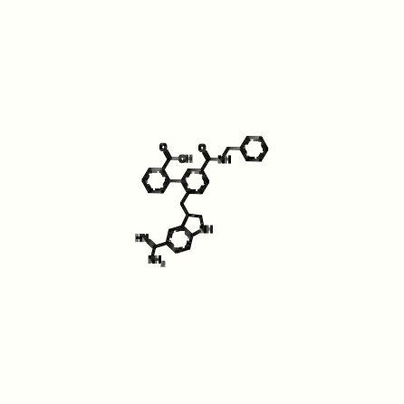 N=C(N)c1ccc2c(c1)C(Cc1ccc(C(=O)NCc3ccccc3)cc1-c1ccccc1C(=O)O)CN2